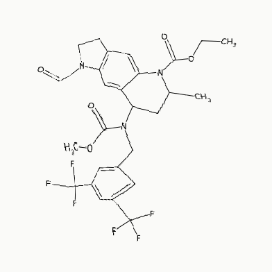 CCOC(=O)N1c2cc3c(cc2C(N(Cc2cc(C(F)(F)F)cc(C(F)(F)F)c2)C(=O)OC)CC1C)N(C=O)CC3